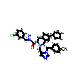 N#Cc1ccc(Cn2cncc2CN2Cc3cc(-c4ccccc4)ccc3C[C@H]2C(=O)NCc2cccc(Cl)c2)cc1